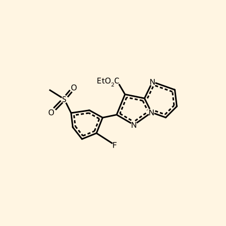 CCOC(=O)c1c(-c2cc(S(C)(=O)=O)ccc2F)nn2cccnc12